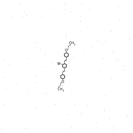 CCCCOc1ccc(C=Cc2ccc(C=Cc3ccc(OCCCC)cc3)c(Br)c2)cc1